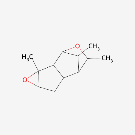 CC1OC2C(C)C1C1CC3OC3(C)C12